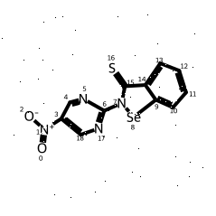 O=[N+]([O-])c1cnc(-n2[se]c3ccccc3c2=S)nc1